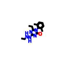 CCNNc1nc(CC)n(-c2c(C)cccc2C)c(=O)n1